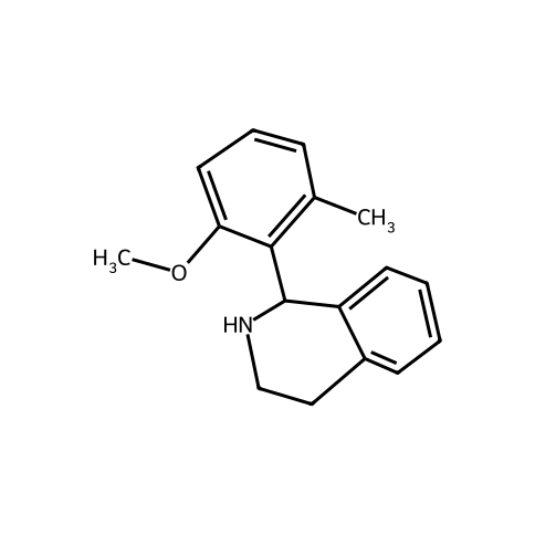 COc1cccc(C)c1C1NCCc2ccccc21